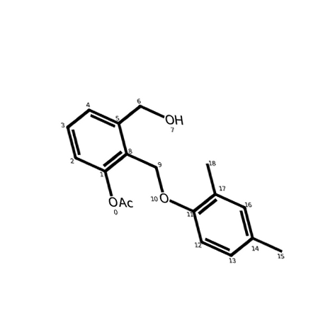 CC(=O)Oc1cccc(CO)c1COc1ccc(C)cc1C